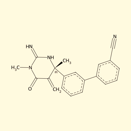 C=C1C(=O)N(C)C(=N)N[C@]1(C)c1cccc(-c2cccc(C#N)c2)c1